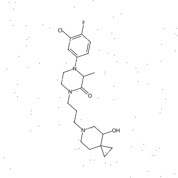 CC1C(=O)N(CCCN2CCC3(CC3)C(O)C2)CCN1c1ccc(F)c(Cl)c1